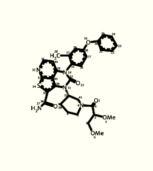 COCC(OC)C(=O)N1CCC[C@@H](N2C(=O)N(c3ccc(Oc4ccccc4)cc3C)c3ccnc4sc(C(N)=O)c2c34)C1